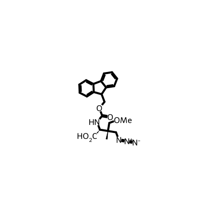 COC[C@](C)(CN=[N+]=[N-])[C@@H](NC(=O)OCC1c2ccccc2-c2ccccc21)C(=O)O